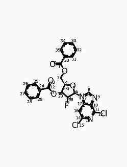 O=C(OC[C@H]1O[C@@H](n2cnc3c(Cl)nc(Cl)cc32)[C@@H](F)[C@@H]1OC(=O)c1ccccc1)c1ccccc1